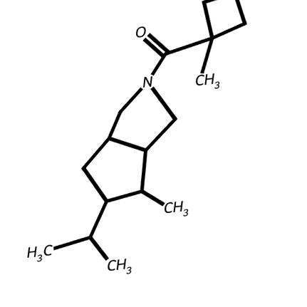 CC(C)C1CC2CN(C(=O)C3(C)CCC3)CC2C1C